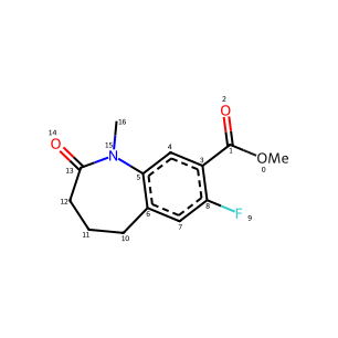 COC(=O)c1cc2c(cc1F)CCCC(=O)N2C